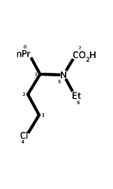 CCCC(CCCl)N(CC)C(=O)O